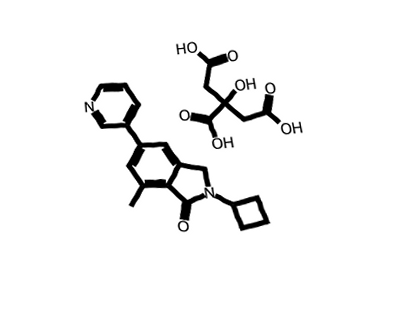 Cc1cc(-c2cccnc2)cc2c1C(=O)N(C1CCC1)C2.O=C(O)CC(O)(CC(=O)O)C(=O)O